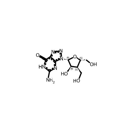 Nc1nc2c(nnn2[C@@H]2O[C@H](CO)[C@@H](CO)[C@H]2O)c(=O)[nH]1